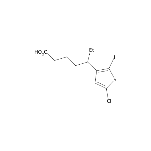 CCC(CCCC(=O)O)c1cc(Cl)sc1I